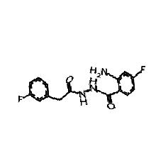 Nc1cc(F)ccc1C(=O)NNC(=O)Cc1cccc(F)c1